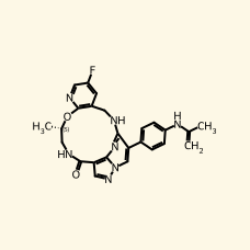 C=C(C)Nc1ccc(-c2cn3ncc4c3nc2NCc2cc(F)cnc2O[C@@H](C)CNC4=O)cc1